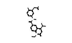 CCn1c(=O)cc(C(C)C)c2cc(C(=O)N(C)c3ccc(Cl)c(CC(=O)O)c3)ccc21